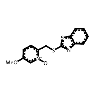 COc1ccc(CSc2nc3ccccc3s2)[n+]([O-])c1